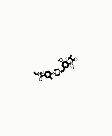 CCNC(=O)c1ccc(N2CCN(Cc3cc4c(c(OC)c3)OC(C)C(=O)N4)CC2)c(C)c1